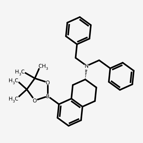 CC1(C)OB(c2cccc3c2C[C@H](N(Cc2ccccc2)Cc2ccccc2)CC3)OC1(C)C